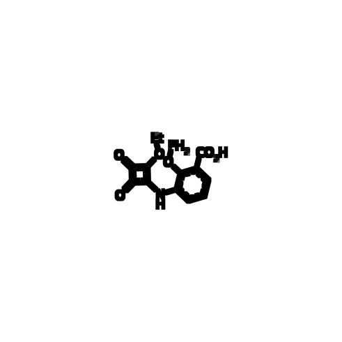 CCOc1c(Nc2cccc(C(=O)O)c2OP)c(=O)c1=O